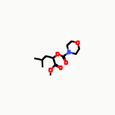 COC(=O)C(CC(C)C)OC(=O)N1CCOCC1